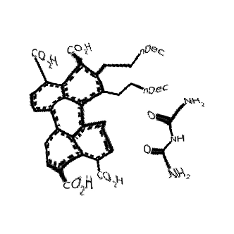 CCCCCCCCCCCCc1c(C(=O)O)c2c(C(=O)O)ccc3c4ccc(C(=O)O)c5c(C(=O)O)ccc(c(c1CCCCCCCCCCCC)c23)c54.NC(=O)NC(N)=O